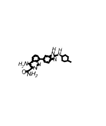 CC1CCC(Nc2nc3ccc(-c4cccc5c(N)c(C(N)=O)nnc45)cc3[nH]2)CC1